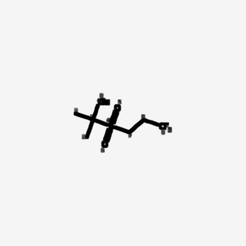 CC(C)(C)C(C)(C)S(=O)(=O)CCC(F)(F)F